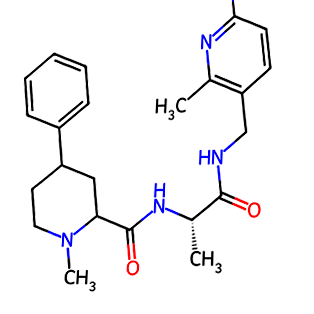 Cc1nc(N)ccc1CNC(=O)[C@H](C)NC(=O)C1CC(c2ccccc2)CCN1C